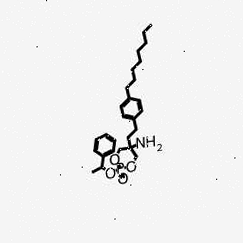 CCCCCCCCc1ccc(CCC2(N)COP(=O)(OC(C)c3ccccc3)OC2)cc1